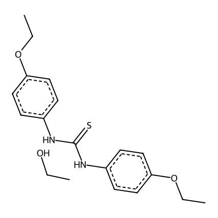 CCO.CCOc1ccc(NC(=S)Nc2ccc(OCC)cc2)cc1